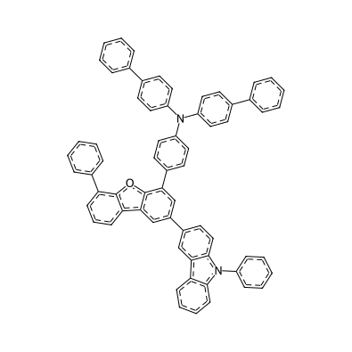 c1ccc(-c2ccc(N(c3ccc(-c4ccccc4)cc3)c3ccc(-c4cc(-c5ccc6c(c5)c5ccccc5n6-c5ccccc5)cc5c4oc4c(-c6ccccc6)cccc45)cc3)cc2)cc1